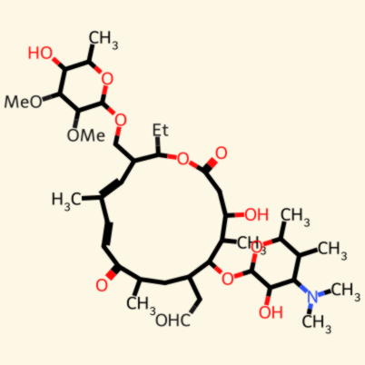 CCC1OC(=O)CC(O)C(C)C(OC2OC(C)C(C)C(N(C)C)C2O)C(CC=O)CC(C)C(=O)/C=C/C(C)=C/C1COC1OC(C)C(O)C(OC)C1OC